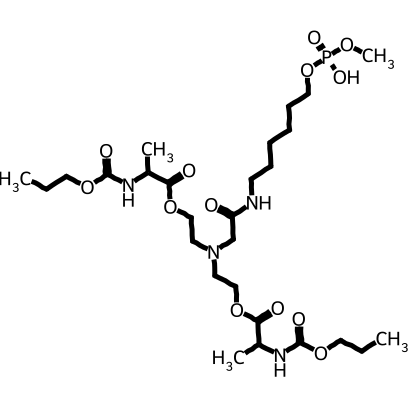 CCCOC(=O)NC(C)C(=O)OCCN(CCOC(=O)C(C)NC(=O)OCCC)CC(=O)NCCCCCCOP(=O)(O)OC